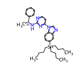 CCC[CH2][Sn]([CH2]CCC)([CH2]CCC)[c]1ccc2c(c1)ncn2-c1ccnc(N[C@@H](C)c2ccccc2)n1